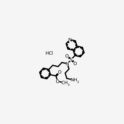 COC(=O)c1ccccc1CCCN(CCCN)S(=O)(=O)c1cccc2cnccc12.Cl